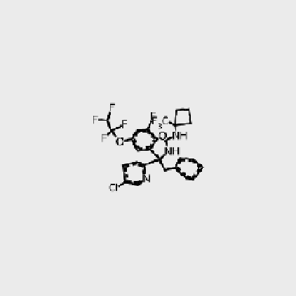 O=C(NC(Cc1ccccc1)(c1cc(F)cc(OC(F)(F)C(F)F)c1)c1ccc(Cl)cn1)NC1(C(F)(F)F)CCC1